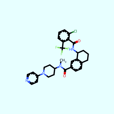 CN(C(=O)c1ccc2c(c1)C(NC(=O)c1c(Cl)cccc1C(F)(F)F)CCC2)C1CCN(c2ccncc2)CC1